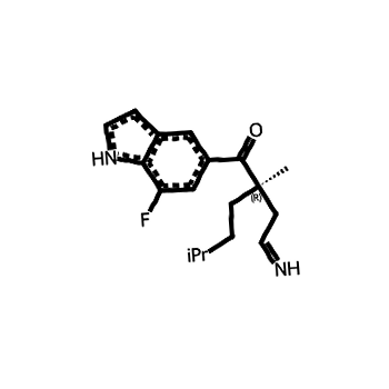 CC(C)CC[C@](C)(CC=N)C(=O)c1cc(F)c2[nH]ccc2c1